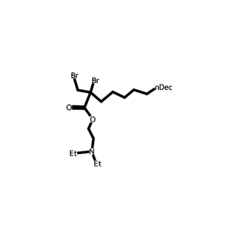 CCCCCCCCCCCCCCCC(Br)(CBr)C(=O)OCCN(CC)CC